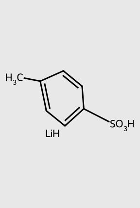 Cc1ccc(S(=O)(=O)O)cc1.[LiH]